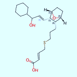 O=C(O)C=CCSCCC[C@@H]1[C@H](/C=C/C(O)C2CCCCC2)[C@@H]2CC[C@H]1O2